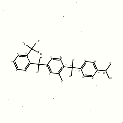 Cc1cc(C(C)(C)c2ccccc2C(F)(F)F)ccc1C(C)(C)c1ccc(C(C)C)cc1